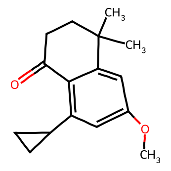 COc1cc(C2CC2)c2c(c1)C(C)(C)CCC2=O